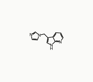 c1cnc2[nH]cc(Cn3ccnc3)c2c1